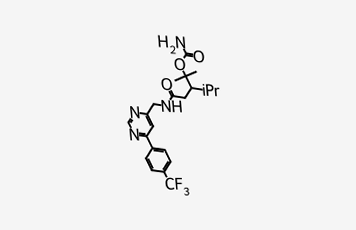 CC(C)C(CC(=O)NCc1cc(-c2ccc(C(F)(F)F)cc2)ncn1)C(C)(C)OC(N)=O